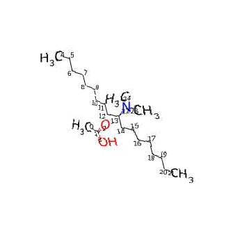 CC(=O)O.CCCCCCCCCC(CCCCCCCC)N(C)C